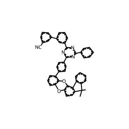 CC1(C)c2ccccc2-c2c1ccc1c2Oc2c(cccc2-c2ccc(-c3nc(-c4ccccc4)nc(-c4cccc(-c5cccc(C#N)c5)c4)n3)cc2)O1